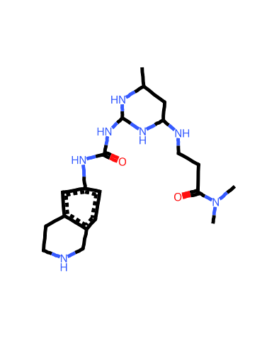 CC1CC(NCCC(=O)N(C)C)NC(NC(=O)Nc2ccc3c(c2)CCNC3)N1